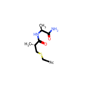 CC(=O)CSC[C@H](C)C(=O)N[C@@H](C)C(N)=O